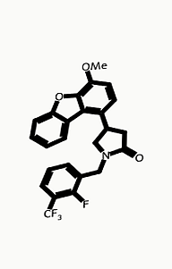 COc1ccc(C2CC(=O)N(Cc3cccc(C(F)(F)F)c3F)C2)c2c1oc1ccccc12